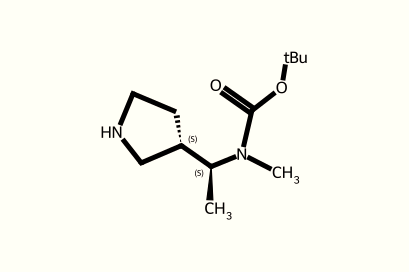 C[C@@H]([C@H]1CCNC1)N(C)C(=O)OC(C)(C)C